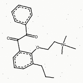 CCCc1cccc(C(=O)C(=O)c2ccccc2)c1OCC[N+](C)(C)C